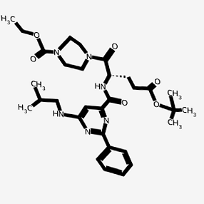 CCOC(=O)N1CCN(C(=O)[C@H](CCC(=O)OC(C)(C)C)NC(=O)c2cc(NCC(C)C)nc(-c3ccccc3)n2)CC1